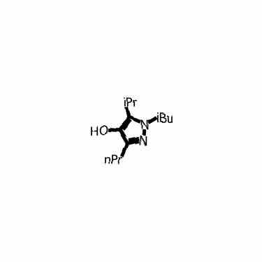 CCCc1nn(C(C)CC)c(C(C)C)c1O